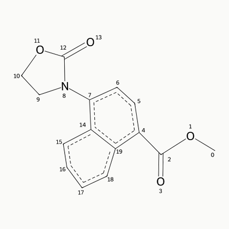 COC(=O)c1ccc(N2CCOC2=O)c2ccccc12